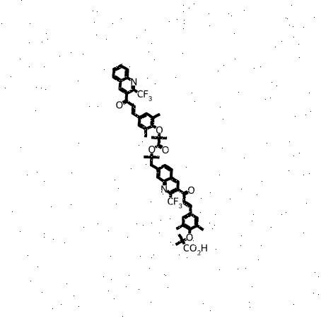 Cc1cc(/C=C/C(=O)c2cc3ccc(CC(C)(C)OC(=O)C(C)(C)Oc4c(C)cc(/C=C/C(=O)c5cc6ccccc6nc5C(F)(F)F)cc4C)cc3nc2C(F)(F)F)cc(C)c1OC(C)(C)C(=O)O